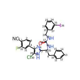 N#Cc1ccc(-c2nc([C@H](Cc3ccccc3)NC(=O)NCc3cccc(I)c3)[nH]c2Cl)cc1F